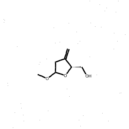 C=C1CC(OC)O[C@H]1CO